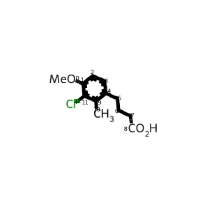 COc1ccc(CCCC(=O)O)c(C)c1Cl